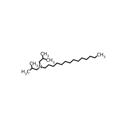 CCCCCCCCCCCCCCN(CC(C)C)CC(C)C